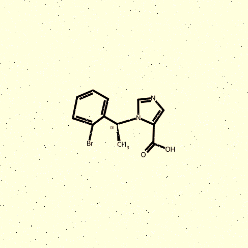 C[C@@H](c1ccccc1Br)n1cncc1C(=O)O